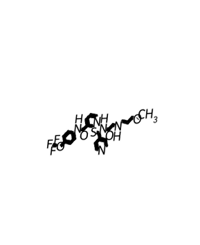 COCCCNCC(=O)NC(Sc1ncccc1C(=O)Nc1ccc(OC(F)(F)F)cc1)c1ccncc1